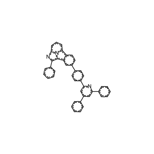 c1ccc(-c2cc(-c3ccccc3)nc(-c3ccc(-c4ccc5c(c4)c4c(-c6ccccc6)nc6cccc5n64)cc3)c2)cc1